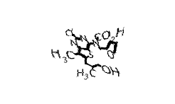 Cc1c(C[C@H](C)CO)sc2c(N(Cc3ccco3)C(=O)O)nc(Cl)nc12